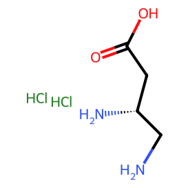 Cl.Cl.NC[C@H](N)CC(=O)O